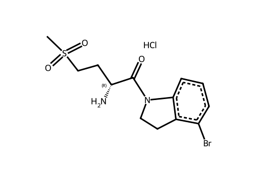 CS(=O)(=O)CC[C@@H](N)C(=O)N1CCc2c(Br)cccc21.Cl